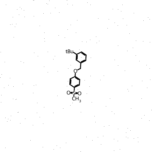 CC(C)(C)c1cccc(COc2ccc(S(C)(=O)=O)cc2)c1